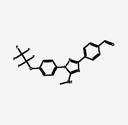 CNc1nc(-c2ccc(C=O)cc2)nn1-c1ccc(OC(F)(F)C(F)(F)F)cc1